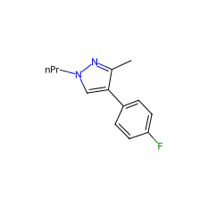 CCCn1cc(-c2ccc(F)cc2)c(C)n1